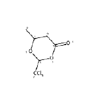 CC1CC(=O)OC(C(Cl)(Cl)Cl)O1